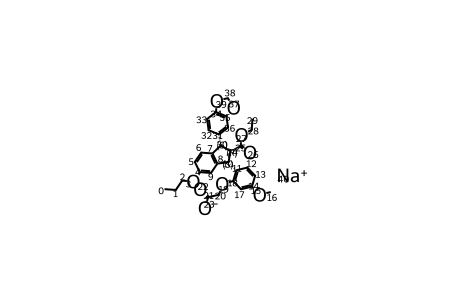 CCCOc1ccc2c(c1)[C@@H](c1ccc(OC)cc1OCC(=O)[O-])[C@H](C(=O)OCC)[C@H]2c1ccc2c(c1)OCO2.[Na+]